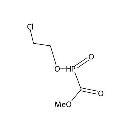 COC(=O)[PH](=O)OCCCl